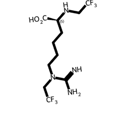 N=C(N)N(CCCC[C@H](NCC(F)(F)F)C(=O)O)CC(F)(F)F